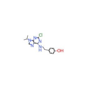 CC(C)n1cnc2c(NCCc3ccc(O)cc3)nc(Cl)nc21